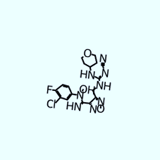 N#C/N=C(/NCc1nonc1C(=N)N(O)c1ccc(F)c(Cl)c1)NC1CCOCC1